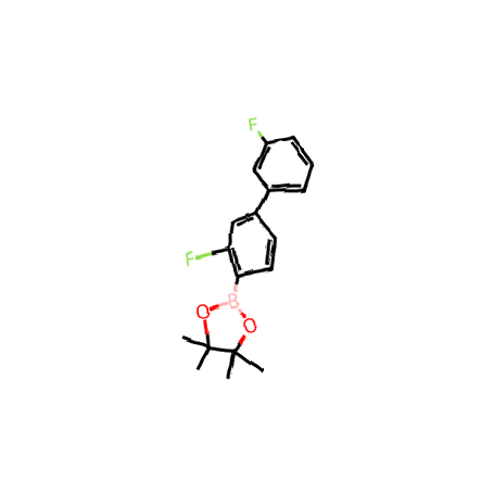 CC1(C)OB(c2ccc(-c3cccc(F)c3)cc2F)OC1(C)C